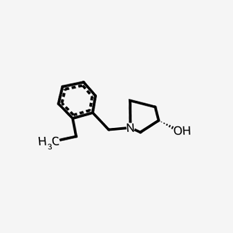 CCc1ccccc1CN1CC[C@H](O)C1